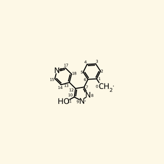 [CH2]c1ccccc1C1=N[N]C(O)=C1c1ccncc1